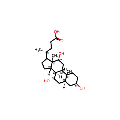 C[C@H](CCC(=O)O)C1CC[C@H]2[C@@H]3[C@@H](O)C[C@@H]4C[C@H](O)CC[C@]4(C)[C@H]3C[C@H](O)[C@]12C